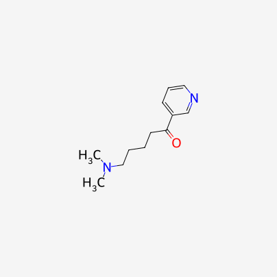 CN(C)CCCCC(=O)c1cccnc1